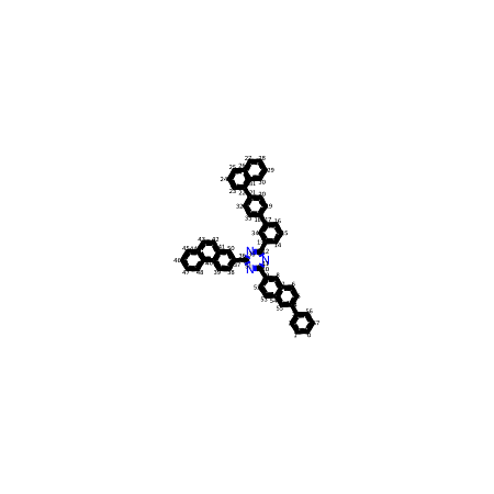 c1ccc(-c2ccc3cc(-c4nc(-c5cccc(-c6ccc(-c7cccc8ccccc78)cc6)c5)nc(-c5ccc6c(ccc7ccccc76)c5)n4)ccc3c2)cc1